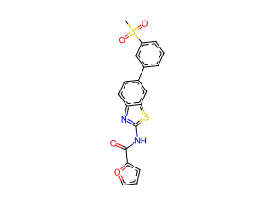 CS(=O)(=O)c1cccc(-c2ccc3nc(NC(=O)c4ccco4)sc3c2)c1